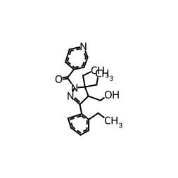 CCc1ccccc1C1=NN(C(=O)c2ccncc2)C(CC)(CC)C1CO